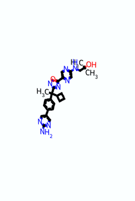 CC(C)(O)CNc1cnc(-c2nc(C(C)(c3ccc(-c4cnc(N)nc4)cc3)C3CCC3)no2)cn1